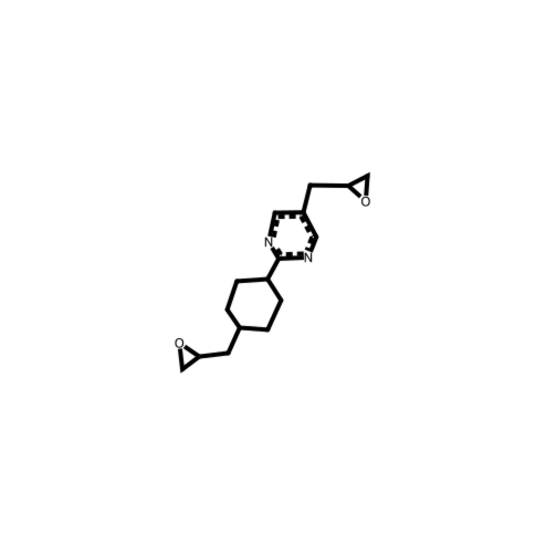 c1nc(C2CCC(CC3CO3)CC2)ncc1CC1CO1